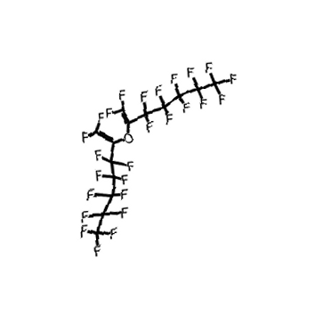 FC(F)=C(OC(=C(F)F)C(F)(F)C(F)(F)C(F)(F)C(F)(F)C(F)(F)F)C(F)(F)C(F)(F)C(F)(F)C(F)(F)C(F)(F)F